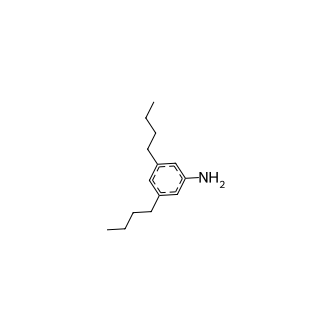 CCCCc1cc(N)cc(CCCC)c1